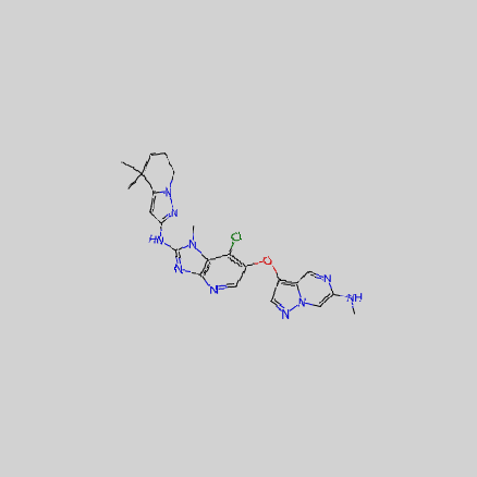 CNc1cn2ncc(Oc3cnc4nc(Nc5cc6n(n5)CCCC6(C)C)n(C)c4c3Cl)c2cn1